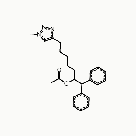 CC(=O)OC(CCCCCc1cn(C)nn1)C(c1ccccc1)c1ccccc1